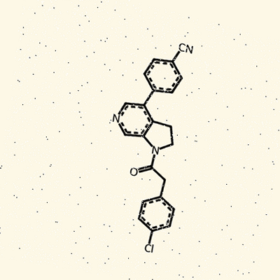 N#Cc1ccc(-c2cncc3c2CCN3C(=O)Cc2ccc(Cl)cc2)cc1